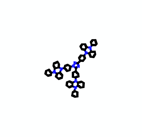 c1ccc(N2c3ccccc3N(c3ccc(-c4nc(-c5ccc(N6c7ccccc7N(c7ccccc7)c7ccccc76)cc5)n(-c5ccc(N6c7ccccc7N(c7ccccc7)c7ccccc76)cc5)n4)cc3)c3ccccc32)cc1